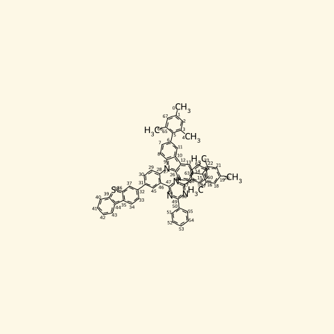 Cc1cc(C)c(-c2ccc3c(c2)c2cc(-c4c(C)cc(C)cc4C)ccc2n3-c2ccc(-c3ccc4c(c3)sc3ccccc34)cc2-c2nc(-c3ccccc3)nc(-c3ccccc3)n2)c(C)c1